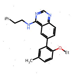 CCOc1ccc(C)cc1-c1ccc2ncnc(NCCC(C)C)c2c1